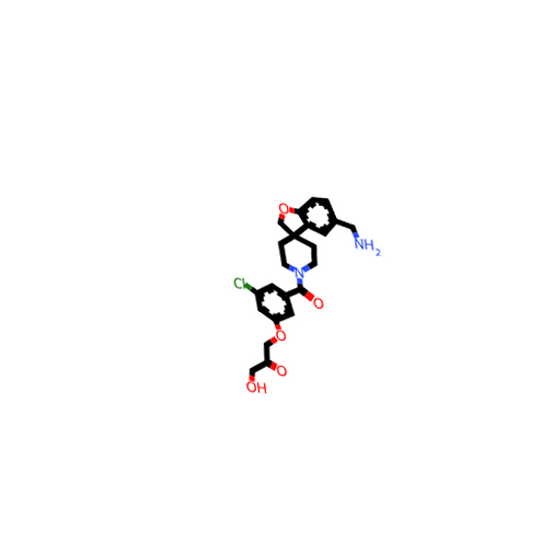 NCc1ccc2c(c1)C1(CCN(C(=O)c3cc(Cl)cc(OCC(=O)CO)c3)CC1)CO2